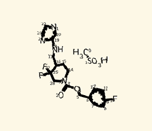 CS(=O)(=O)O.O=C(OCc1ccc(F)cc1)N1CCC(CNc2cnccn2)C(F)(F)C1